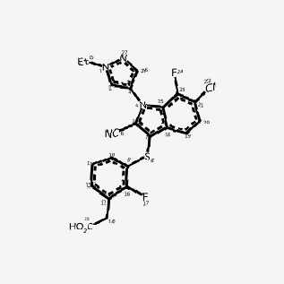 CCn1cc(-n2c(C#N)c(Sc3cccc(CC(=O)O)c3F)c3ccc(Cl)c(F)c32)cn1